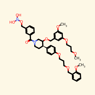 COCCCOc1cc(COC2CN(C(=O)c3cccc(CON(O)O)c3)CC[C@@H]2c2ccc(OCCCOCc3ccccc3OC)cc2)cc(OC)c1